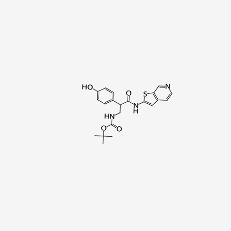 CC(C)(C)OC(=O)NCC(C(=O)Nc1cc2ccncc2s1)c1ccc(O)cc1